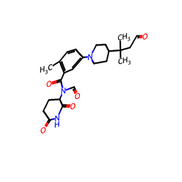 Cc1ccc(N2CCC(C(C)(C)CC=O)CC2)cc1C(=O)N(C=O)C1CCC(=O)NC1=O